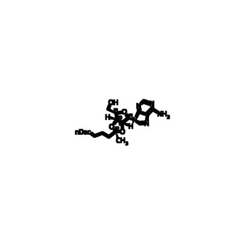 CCCCCCCCCCCCC[C@]1(C)O[C@@H]2[C@H](O1)[C@@H](CO)O[C@H]2n1cnc2c(N)ncnc21